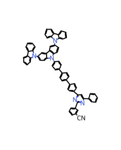 N#Cc1cccc(-c2nc(-c3ccccc3)cc(-c3ccc(-c4ccc(-c5ccc(-n6c7ccc(-n8c9ccccc9c9ccccc98)cc7c7cc(-n8c9ccccc9c9ccccc98)ccc76)cc5)cc4)cc3)n2)c1